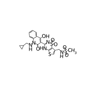 CS(=O)(=O)NCc1csc2c1S(=O)(=O)N=C(c1c(O)c3ccccc3n(NCC3CC3)c1=O)N2